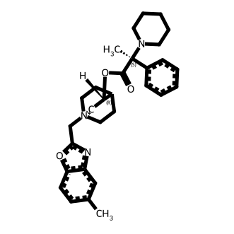 Cc1ccc2oc(C[N+]34CCC(CC3)[C@@H](OC(=O)[C@](C)(c3ccccc3)N3CCCCC3)C4)nc2c1